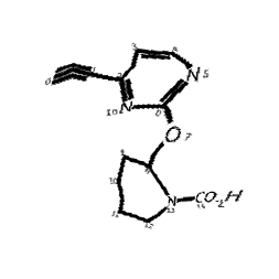 C#Cc1ccnc(OC2CCCCN2C(=O)O)n1